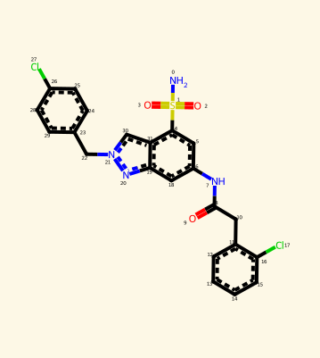 NS(=O)(=O)c1cc(NC(=O)Cc2ccccc2Cl)cc2nn(Cc3ccc(Cl)cc3)cc12